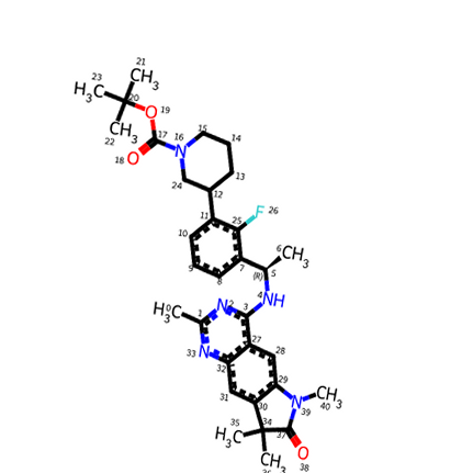 Cc1nc(N[C@H](C)c2cccc(C3CCCN(C(=O)OC(C)(C)C)C3)c2F)c2cc3c(cc2n1)C(C)(C)C(=O)N3C